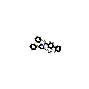 COc1ccccc1-c1ccc(C(=O)N2[C@H](C(=O)O)C[C@H](c3ccccc3)[C@@H]2c2ccccc2Cl)cc1